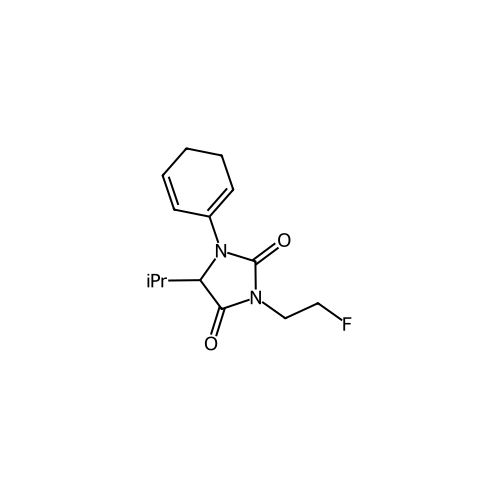 CC(C)C1C(=O)N(CCF)C(=O)N1C1=CCCC=C1